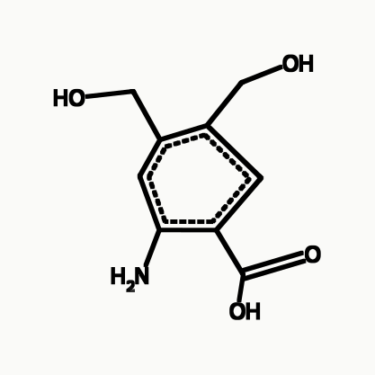 Nc1cc(CO)c(CO)cc1C(=O)O